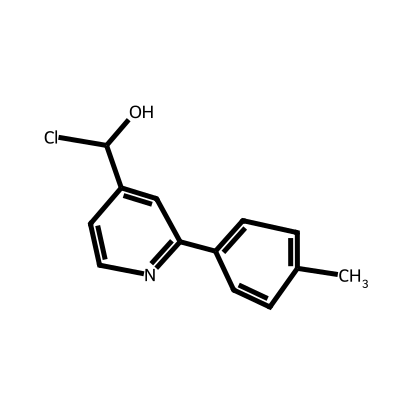 Cc1ccc(-c2cc(C(O)Cl)ccn2)cc1